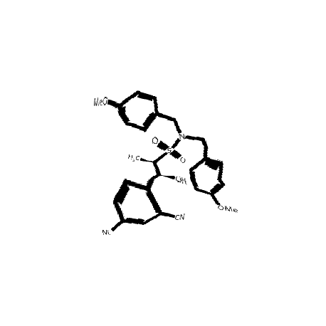 COc1ccc(CN(Cc2ccc(OC)cc2)S(=O)(=O)[C@H](C)[C@@H](O)c2ccc(C#N)cc2C#N)cc1